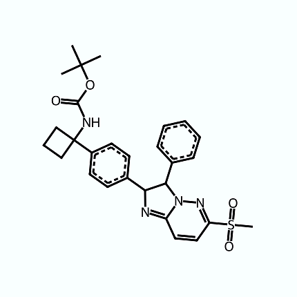 CC(C)(C)OC(=O)NC1(c2ccc(C3N=C4C=CC(S(C)(=O)=O)=NN4C3c3ccccc3)cc2)CCC1